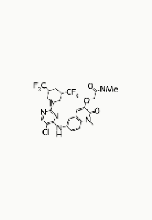 CNC(=O)COc1cc2cc(Nc3nc(N4CC(C(F)(F)F)CC(C(F)(F)F)C4)ncc3Cl)ccc2n(C)c1=O